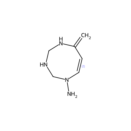 C=C1/C=C\N(N)CNCN1